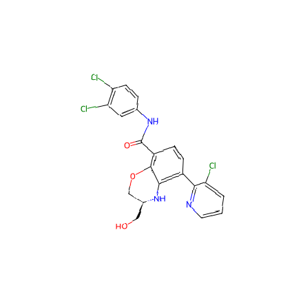 O=C(Nc1ccc(Cl)c(Cl)c1)c1ccc(-c2ncccc2Cl)c2c1OC[C@H](CO)N2